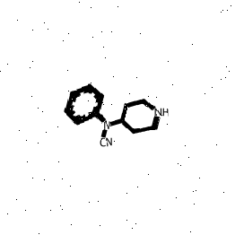 N#CN(c1ccccc1)C1CCNCC1